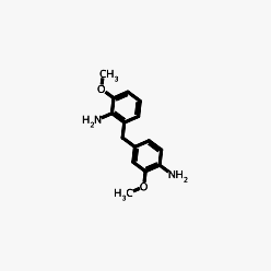 COc1cc(Cc2cccc(OC)c2N)ccc1N